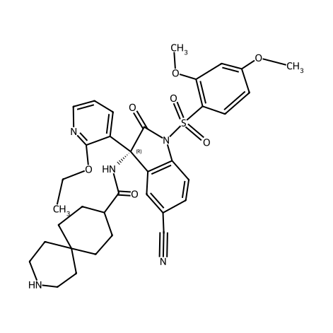 CCOc1ncccc1[C@@]1(NC(=O)C2CCC3(CCNCC3)CC2)C(=O)N(S(=O)(=O)c2ccc(OC)cc2OC)c2ccc(C#N)cc21